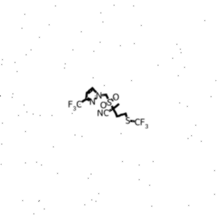 CC(C#N)(CCSC(F)(F)F)S(=O)(=O)Cn1ccc(C(F)(F)F)n1